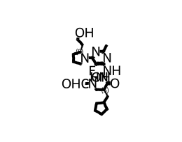 Cc1nc(NNC(=O)[C@@H](CC2CCCC2)CN(O)C=O)c(F)c(N2CCC[C@H]2CCO)n1